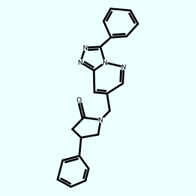 O=C1CC(c2ccccc2)CN1Cc1cnn2c(-c3ccccc3)nnc2c1